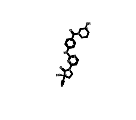 N#C[C@@]1(O)CCN(c2ccnc(Nc3ccc(C(=O)N4CCC[C@H](O)C4)cc3)n2)C1=O